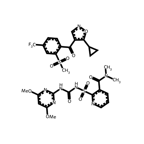 COc1cc(OC)nc(NC(=O)NS(=O)(=O)c2ncccc2C(=O)N(C)C)n1.CS(=O)(=O)c1cc(C(F)(F)F)ccc1C(=O)c1cnoc1C1CC1